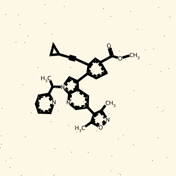 COC(=O)c1ccc(-c2cn(C(C)c3ccccn3)c3ncc(-c4c(C)noc4C)cc23)c(C#CC2CC2)c1